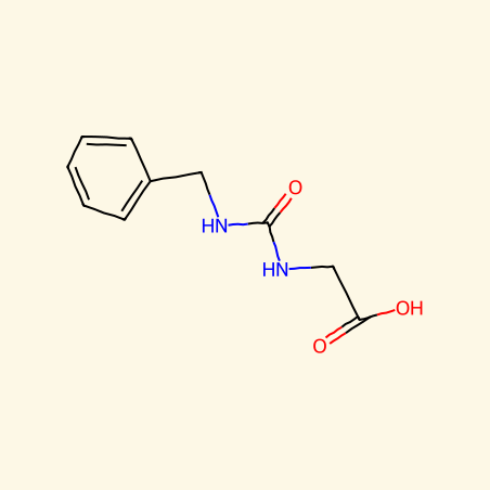 O=C(O)CNC(=O)NCc1ccccc1